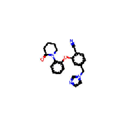 N#Cc1ccc(Cn2ccnc2)cc1Oc1ccccc1N1CCCCC1=O